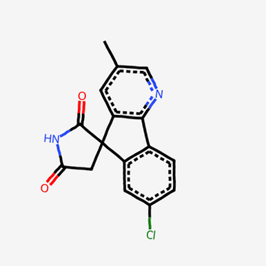 Cc1cnc2c(c1)C1(CC(=O)NC1=O)c1cc(Cl)ccc1-2